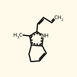 C=C/C=C\c1[nH]c2c(c1C)CCC=C2